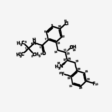 CC(C)(C)NC(=O)c1ccc(Cl)cc1C[C@H](O)[C@H](N)Cc1cc(F)ccc1F